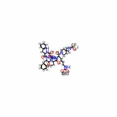 CC(C)CC(NC(=O)C(Cc1ccccc1)NC(=O)C(Cc1ccccc1)NC(=O)OC(C)(C)C)C(=O)NC(CCCCNC(=O)OC(C)(C)C)C(=O)N1CCC2(CC1)CN(C(=O)C(F)(F)F)C2